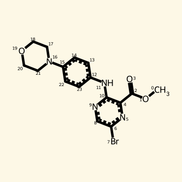 COC(=O)c1nc(Br)cnc1Nc1ccc(N2CCOCC2)cc1